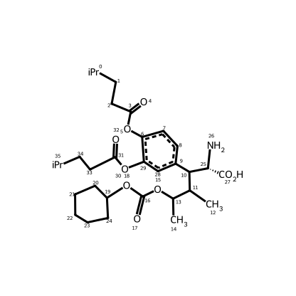 CC(C)CCC(=O)Oc1ccc(C(C(C)C(C)OC(=O)OC2CCCCC2)[C@H](N)C(=O)O)cc1OC(=O)CCC(C)C